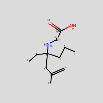 C=C(C)CC(CC)(CCC)NBC(=O)O